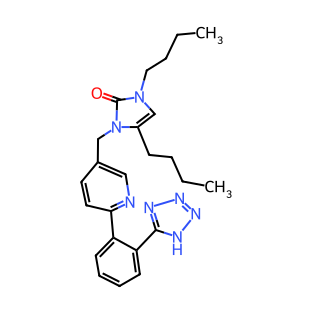 CCCCc1cn(CCCC)c(=O)n1Cc1ccc(-c2ccccc2-c2nnn[nH]2)nc1